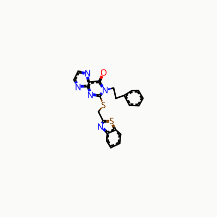 O=c1c2nccnc2nc(SCc2nc3ccccc3s2)n1CCc1ccccc1